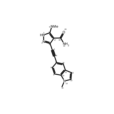 CNc1[nH]nc(C#Cc2ccc3c(ccn3C)c2)c1C(N)=O